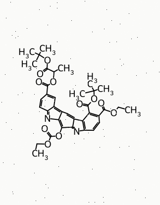 CCOC(=O)Oc1c2c(cc3c1=Nc1ccc(C(=O)OCC)c(C(=O)OC(C)(C)C)c1-3)=c1cc(C(=O)OC(C)C(=O)OC(C)(C)C)ccc1=N2